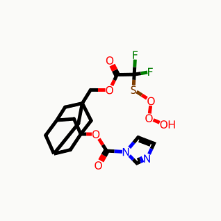 O=C(OC12CC3CC(CC(COC(=O)C(F)(F)SOOO)(C3)C1)C2)n1ccnc1